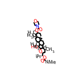 CNC(=O)O[C@H](C(C)C)C1C[C@@H](C)[C@H]2C(O1)[C@H](O)[C@@]1(C)C3CC[C@H]4C(C)(C)C(OC(=O)N5CCOCC5)CC[C@@]45C[C@@]35CC[C@]21C